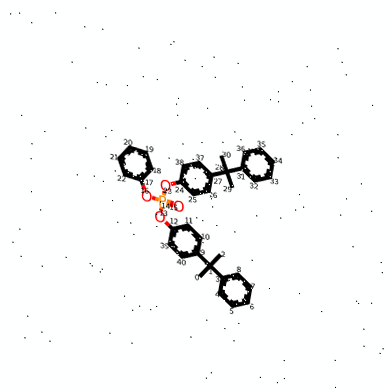 CC(C)(c1ccccc1)c1ccc(OP(=O)(Oc2ccccc2)Oc2ccc(C(C)(C)c3ccccc3)cc2)cc1